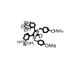 COc1ccc(Cn2c(-c3cccc(P(=O)(O)O)c3)c(-c3cccc(P(=O)(O)O)c3)n(Cc3ccc(OC)cc3)c2=O)cc1